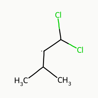 CC(C)[CH]C(Cl)Cl